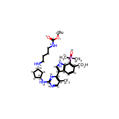 CC(C)(C)OC(=O)NCCCCN[C@H]1CC[C@H](Nc2ncc(C(F)(F)F)c(-c3c[nH]c4c(P(C)(C)=O)c(C(=O)O)ccc34)n2)C1